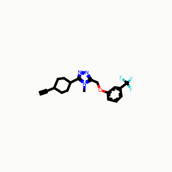 C#CC1CCC(c2nnc(COc3cccc(C(F)(F)F)c3)n2C)CC1